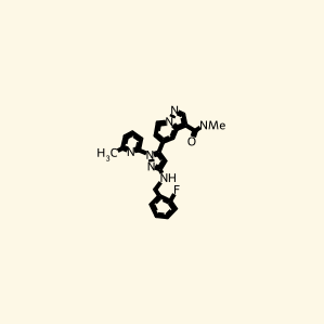 CNC(=O)c1cnn2ccc(-c3cc(NCc4ccccc4F)nn3-c3cccc(C)n3)cc12